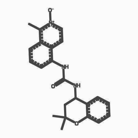 Cc1c2cccc(NC(=O)NC3CC(C)(C)Oc4ccccc43)c2cc[n+]1[O-]